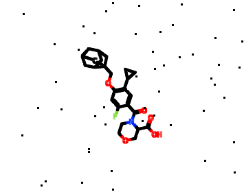 O=C(O)C1COCCN1C(=O)c1cc(C2CC2)c(OCC23CC4CC(CC2C4)C3)cc1F